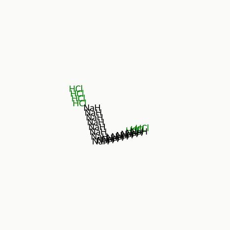 Cl.Cl.Cl.Cl.Cl.Cl.Cl.[NaH].[NaH].[NaH].[NaH].[NaH].[NaH].[NaH].[NaH].[NaH].[NaH].[NaH].[NaH].[NaH].[NaH].[NaH].[NaH]